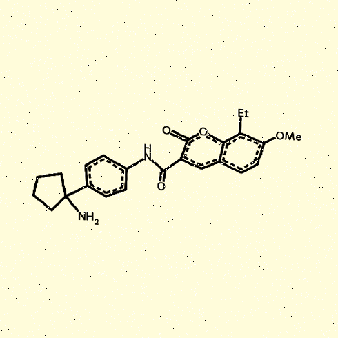 CCc1c(OC)ccc2cc(C(=O)Nc3ccc(C4(N)CCCC4)cc3)c(=O)oc12